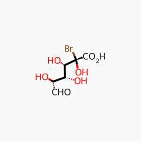 O=C[C@H](O)[C@@H](O)[C@H](O)[C@@](O)(Br)C(=O)O